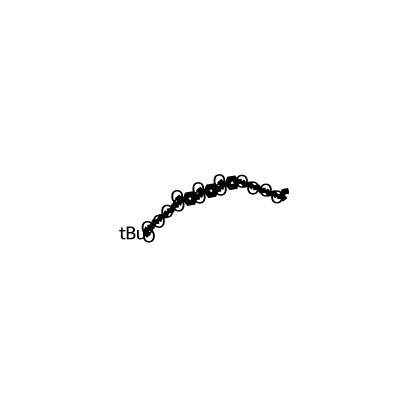 C=CC(=C)OCCOCCOCCOc1ccc(C(=O)Oc2ccc(C(=O)Oc3ccc(C(=O)OCCOCCOCCOC(=O)C(C)(C)C)cc3)cc2)cc1